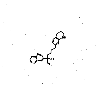 C=CC(O)(CCCCc1ccc2c(n1)NCCC2)c1cnc2ccccc2c1